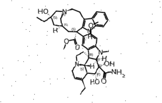 CCC1=CCN2CC[C@]34c5cc([C@@]6(C(=O)OC)C[C@@H]7C[N@](CCc8c6[nH]c6ccccc86)C[C@](O)(CC)C7)c(OC)cc5N(C)[C@H]3[C@@](O)(C(N)=O)[C@H](O)C1[C@H]24